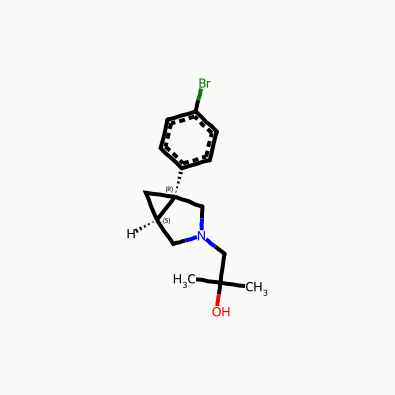 CC(C)(O)CN1C[C@H]2C[C@@]2(c2ccc(Br)cc2)C1